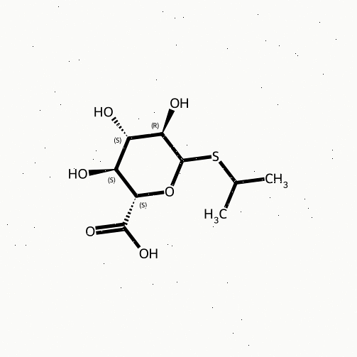 CC(C)SC1O[C@H](C(=O)O)[C@@H](O)[C@H](O)[C@H]1O